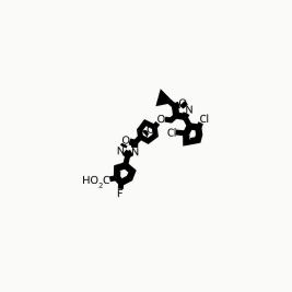 O=C(O)c1cc(-c2noc(C34CCC(OCc5c(-c6c(Cl)cccc6Cl)noc5C5CC5)(CC3)CO4)n2)ccc1F